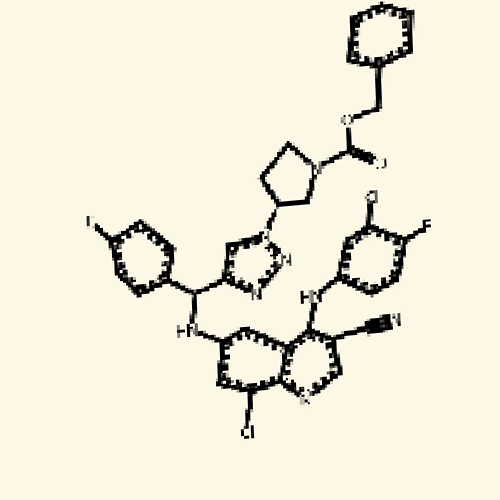 N#Cc1cnc2c(Cl)cc(NC(c3ccc(F)cc3)c3cn([C@H]4CCN(C(=O)OCc5ccccc5)C4)nn3)cc2c1Nc1ccc(F)c(Cl)c1